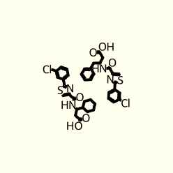 O=C(O)CC(Cc1ccccc1)NC(=O)c1csc(-c2cccc(Cl)c2)n1.O=C(O)CC(NC(=O)c1csc(-c2cccc(Cl)c2)n1)C1CCCCC1